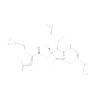 C=CC[C@@H]1COc2cc(C(N)=O)cc3c2C1[C@@](N)(NC(=O)c1cc(C)nn1CC1CC1)C3N